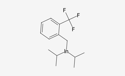 C[CH](C)[In]([CH2]c1ccccc1C(F)(F)F)[CH](C)C